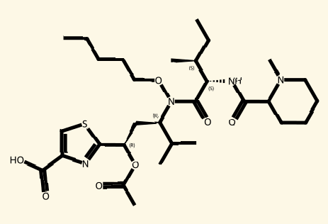 CCCCCON(C(=O)[C@@H](NC(=O)C1CCCCN1C)[C@@H](C)CC)[C@H](C[C@@H](OC(C)=O)c1nc(C(=O)O)cs1)C(C)C